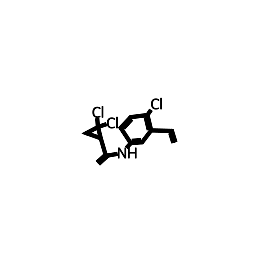 C=Cc1cc(NC(=C)C2CC2(Cl)Cl)ccc1Cl